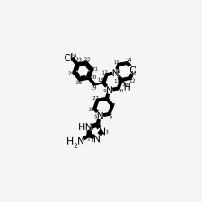 Nc1nnc(N2CCC(N3C[C@@H]4COCCN4C[C@@H]3Cc3ccc(Cl)cc3)CC2)[nH]1